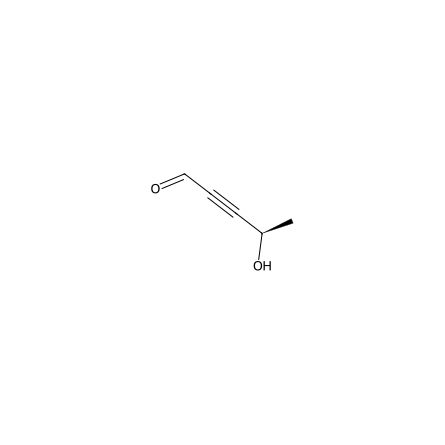 C[C@@H](O)C#CC=O